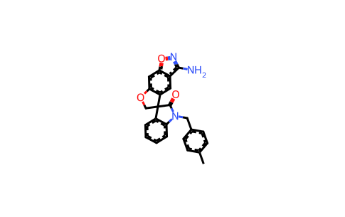 Cc1ccc(CN2C(=O)C3(COc4cc5onc(N)c5cc43)c3ccccc32)cc1